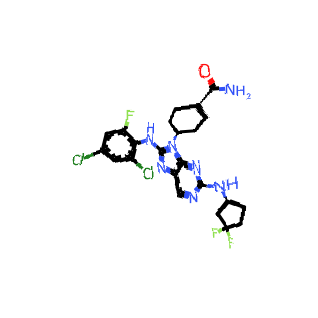 NC(=O)[C@H]1CC[C@@H](n2c(Nc3c(F)cc(Cl)cc3Cl)nc3cnc(N[C@H]4CCC(F)(F)C4)nc32)CC1